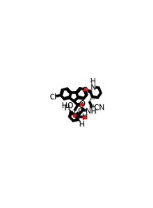 N#C[C@@H](C[C@H]1CCCNC1=O)NC(=O)[C@H]1[C@@H]2CC[C@@H](CC2(F)F)N1C(=O)C1(O)c2ccccc2-c2ccc(Cl)cc21